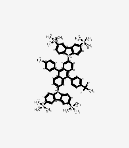 CC(F)(F)c1ccc(-c2c3ccc(-n4c5ccc([Si](C)(C)C)cc5c5cc([Si](C)(C)C)ccc54)cc3c(-c3ccc(C(F)(F)F)cc3)c3ccc(-n4c5ccc([Si](C)(C)C)cc5c5cc([Si](C)(C)C)ccc54)cc23)cc1